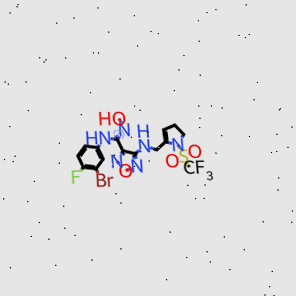 O=S(=O)(N1CCC=C1CNc1nonc1/C(=N/O)Nc1ccc(F)c(Br)c1)C(F)(F)F